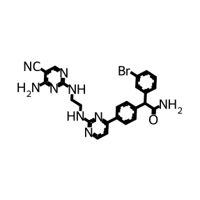 N#Cc1cnc(NCCNc2nccc(-c3ccc(C(C(N)=O)c4cccc(Br)c4)cc3)n2)nc1N